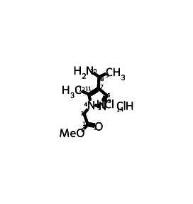 COC(=O)Cn1ncc(C(C)N)c1C.Cl.Cl